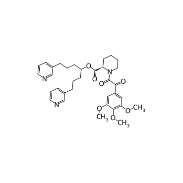 COc1cc(C(=O)C(=O)N2CCCC[C@@H]2C(=O)OC(CCCc2cccnc2)CCCc2cccnc2)cc(OC)c1OC